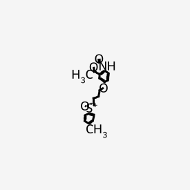 Cc1ccc([S+]([O-])CCCCOc2ccc3c(c2)C(C)OC(=O)N3)cc1